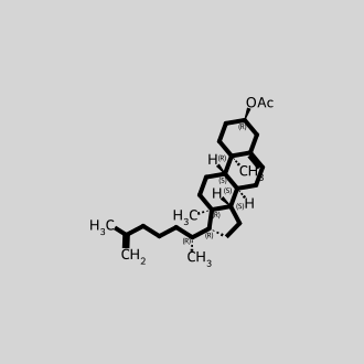 C=C(C)CCC[C@@H](C)[C@H]1CC[C@H]2[C@@H]3CC=C4C[C@H](OC(C)=O)CC[C@]4(C)[C@H]3CC[C@]12C